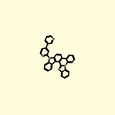 c1cncc(-c2ccnc(-n3c4ccccc4c4c5c(ccc43)c3ccccc3n3c4ccccc4nc53)c2)c1